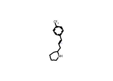 FC(F)(F)c1ccc(/C=C/CC2CCCCN2)cc1